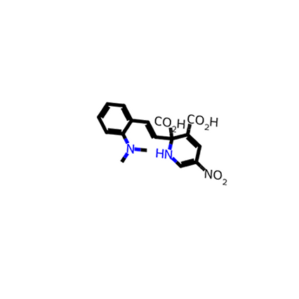 CN(C)c1ccccc1/C=C/C1(C(=O)O)NC=C([N+](=O)[O-])C=C1C(=O)O